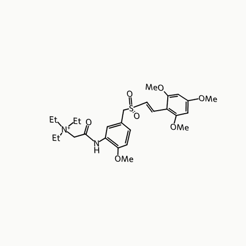 CC[N+](CC)(CC)CC(=O)Nc1cc(CS(=O)(=O)C=Cc2c(OC)cc(OC)cc2OC)ccc1OC